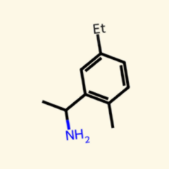 CCc1ccc(C)c(C(C)N)c1